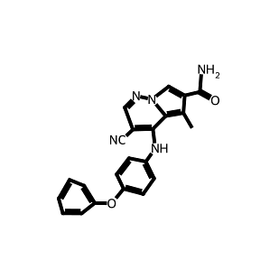 Cc1c(C(N)=O)cn2ncc(C#N)c(Nc3ccc(Oc4ccccc4)cc3)c12